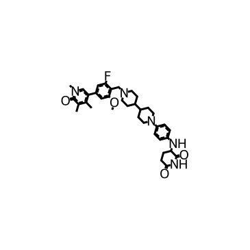 COc1cc(-c2cn(C)c(=O)c(C)c2C)cc(F)c1CN1CCC(C2CCN(c3ccc(NC4CCC(=O)NC4=O)cc3)CC2)CC1